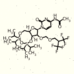 CC(=O)Nc1ccn([C@@H]2O[C@@H]3CO[Si](C(C)C)(C(C)C)O[Si](C(C)C)(C(C)C)O[C@@H]3C2OCOCC(C(F)(F)F)C(F)(F)F)c(=O)n1